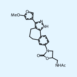 COc1cc(-c2n[nH]c3c2CCCc2cc(N4CC(CNC(C)=O)OC4=O)ccc2-3)co1